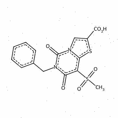 CS(=O)(=O)c1c(=O)n(Cc2ccccc2)c(=O)n2cc(C(=O)O)sc12